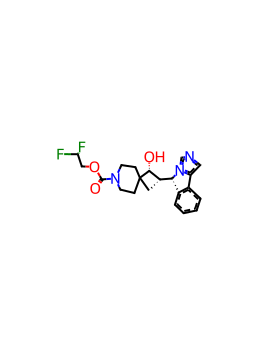 O=C(OCC(F)F)N1CCC2(CC1)C[C@@H]([C@H]1c3ccccc3-c3cncn31)[C@H]2O